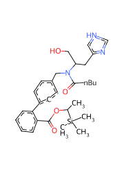 CCCCC(=O)N(Cc1ccc(-c2ccccc2C(=O)OC(C)[Si](C)(C)C)cc1)C(CO)Cc1c[nH]cn1